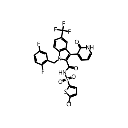 O=C(NS(=O)(=O)c1ccc(Cl)s1)c1c(-c2ccc[nH]c2=O)c2cc(C(F)(F)F)ccc2n1Cc1cc(F)ccc1F